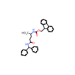 O=C(CC[C@H](NC(=O)OCC1c2ccccc2-c2ccccc21)C(=O)O)NC(c1ccccc1)c1ccccc1